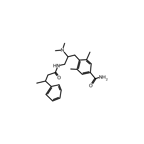 Cc1cc(C(N)=O)cc(C)c1CC(CNC(=O)CC(C)c1ccccc1)N(C)C